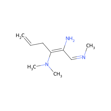 C=CC/C(=C(N)/C=N\C)N(C)C